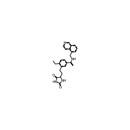 C=C(NCc1cccc2cnccc12)c1ccc(CC)c(CCC2NC(=O)NC2=O)c1